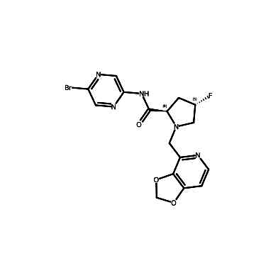 O=C(Nc1cnc(Br)cn1)[C@H]1C[C@H](F)CN1Cc1nccc2c1OCO2